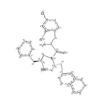 NC(Cc1ccc(Cl)cc1Cl)C(=O)N1C[C@H](Cc2ccccc2)NC[C@H]1Cc1ccc2ccccc2c1